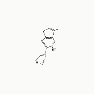 CC1=CCc2cc(-c3ccccc3)c(Br)cc21